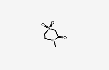 CN1CCS(=O)(=O)CC1=O